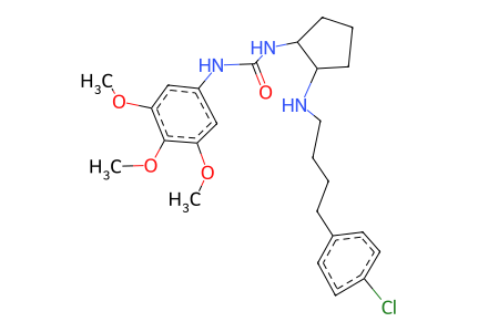 COc1cc(NC(=O)NC2CCCC2NCCCCc2ccc(Cl)cc2)cc(OC)c1OC